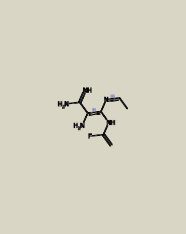 C=C(F)NC(/N=C\C)=C(\N)C(=N)N